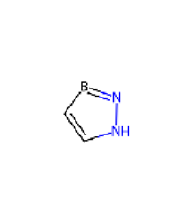 b1cc[nH]n1